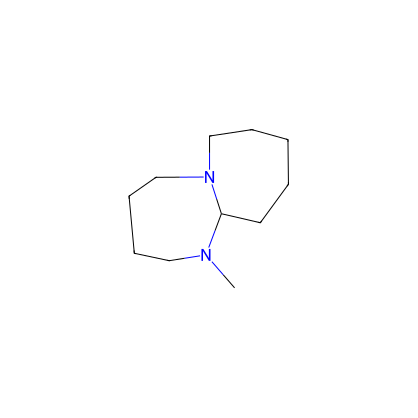 CN1CCCCN2CCCCCC12